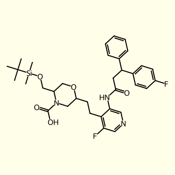 CC(C)(C)[Si](C)(C)OCC1COC(CCc2c(F)cncc2NC(=O)CC(c2ccccc2)c2ccc(F)cc2)CN1C(=O)O